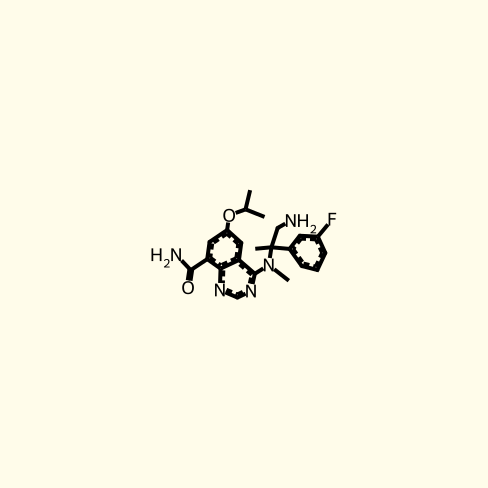 CC(C)Oc1cc(C(N)=O)c2ncnc(N(C)C(C)(CN)c3cccc(F)c3)c2c1